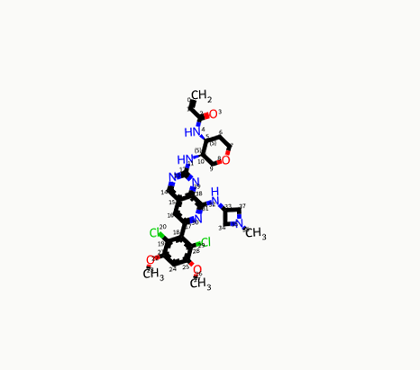 C=CC(=O)N[C@H]1CCOC[C@H]1Nc1ncc2cc(-c3c(Cl)c(OC)cc(OC)c3Cl)nc(NC3CN(C)C3)c2n1